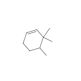 CC1CCC=CC1(C)C